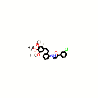 COc1cc(/C=C\c2ccccc2N/C=C\C(=O)c2cccc(Cl)c2)cc(OC)c1OC